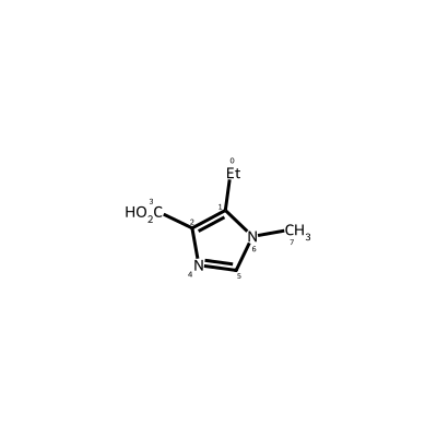 CCc1c(C(=O)O)ncn1C